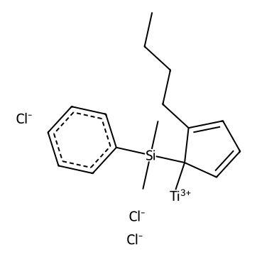 CCCCC1=CC=C[C]1([Ti+3])[Si](C)(C)c1ccccc1.[Cl-].[Cl-].[Cl-]